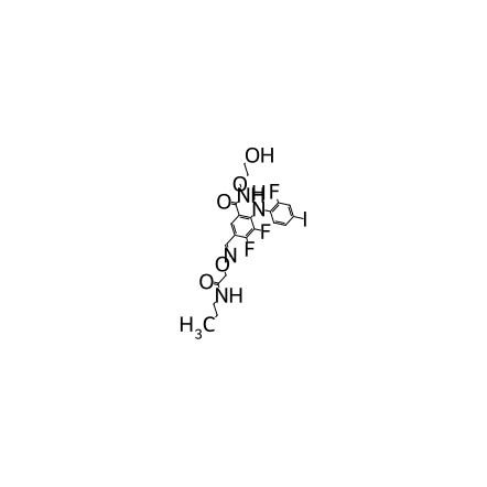 CCCNC(=O)CO/N=C/c1cc(C(=O)NOCCO)c(Nc2ccc(I)cc2F)c(F)c1F